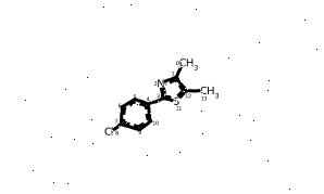 Cc1nc(-c2ccc(Cl)cc2)sc1C